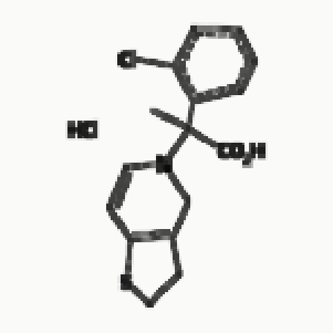 CC(C(=O)O)(c1ccccc1Cl)N1C=CC2=C(CCS2)C1.Cl